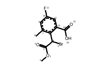 COC(=O)C(Br)c1c(C)cc(F)cc1C(=O)O